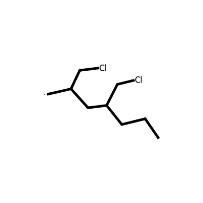 [CH2]C(CCl)CC(CCl)CCC